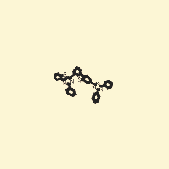 c1ccc(-c2nc(-c3ccccc3)nc(-c3ccc4c(c3)sc3c(-c5nc(-c6ccccc6)nc6c5sc5ccccc56)cccc34)n2)cc1